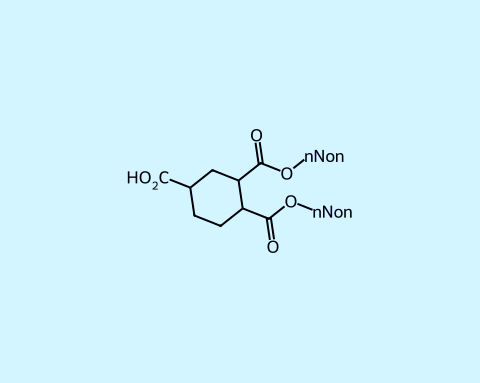 CCCCCCCCCOC(=O)C1CCC(C(=O)O)CC1C(=O)OCCCCCCCCC